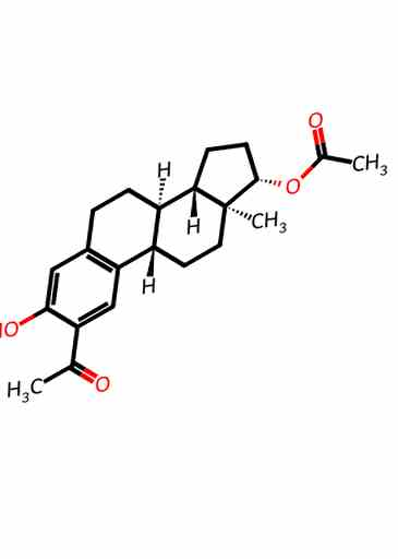 CC(=O)O[C@H]1CC[C@H]2[C@@H]3CCc4cc(O)c(C(C)=O)cc4[C@H]3CC[C@]12C